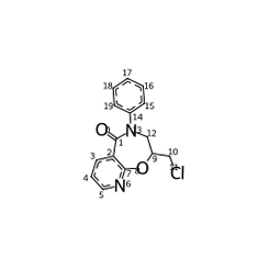 O=C1c2cccnc2OC(CCl)CN1c1ccccc1